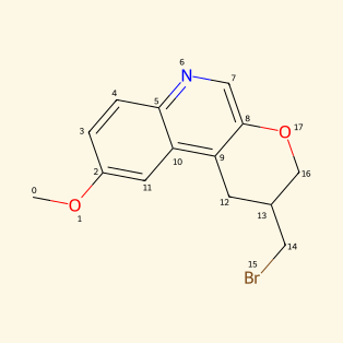 COc1ccc2ncc3c(c2c1)CC(CBr)CO3